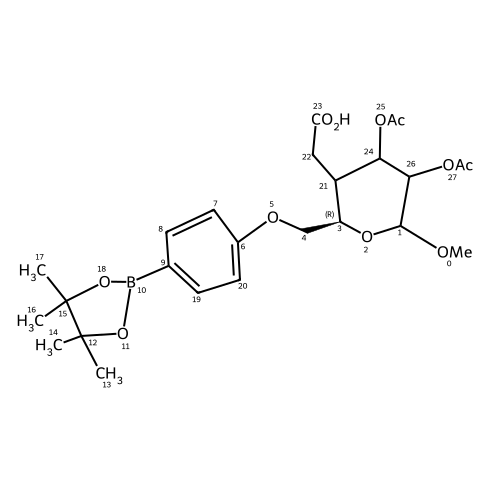 COC1O[C@@H](COc2ccc(B3OC(C)(C)C(C)(C)O3)cc2)C(CC(=O)O)C(OC(C)=O)C1OC(C)=O